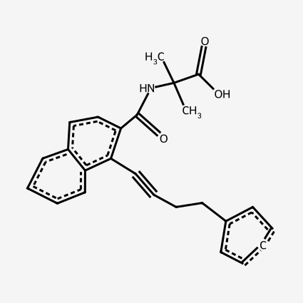 CC(C)(NC(=O)c1ccc2ccccc2c1C#CCCc1ccccc1)C(=O)O